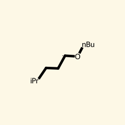 CCCCO[CH]CCC(C)C